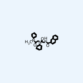 CN(C(=O)CN(C(=O)CNC(=O)c1ccc2ccccc2c1)c1ccccc1)c1ccccc1